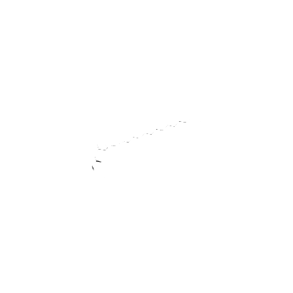 C=CC(=O)OC(C)CSSSCCCCCCCCCCCC